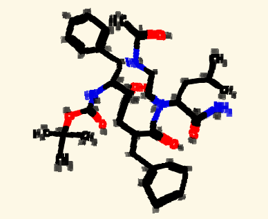 CC(=O)NCCN(C(=O)C(Cc1ccccc1)CC(O)C(Cc1ccccc1)NC(=O)OC(C)(C)C)C(CC(C)C)C(N)=O